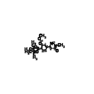 COCOc1cc(-c2cc(=O)n(C)cn2)ccc1B1OC(C)(C)C(C)(C)O1